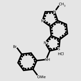 COc1ccc(Br)cc1Nc1nc2c(ccc3c2ncn3C)s1.Cl